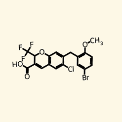 COc1ccc(Br)cc1Cc1cc2c(cc1Cl)C=C(C(=O)O)C(C(F)(F)F)O2